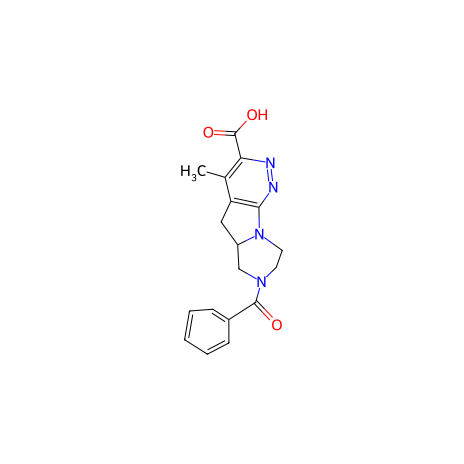 Cc1c(C(=O)O)nnc2c1CC1CN(C(=O)c3ccccc3)CCN21